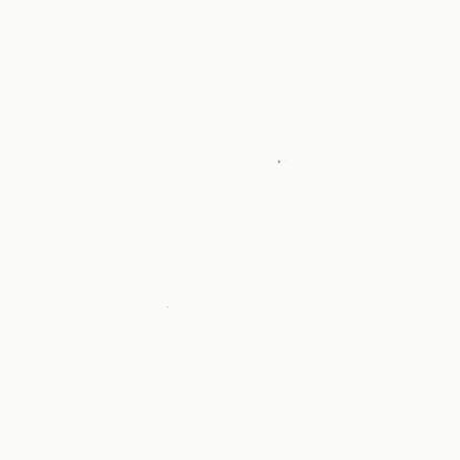 CCCC1CCC(C2CCC(OCCC[Si](OCC)(OCC)OCC)CC2)CC1